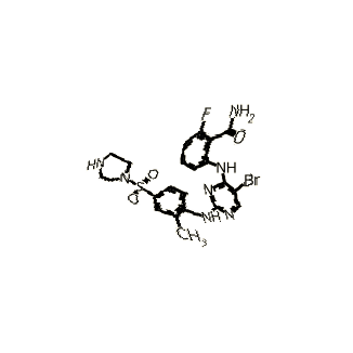 Cc1cc(S(=O)(=O)N2CCNCC2)ccc1Nc1ncc(Br)c(Nc2cccc(F)c2C(N)=O)n1